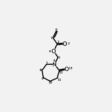 C=CC(=O)OCN1CCCCCC1=O